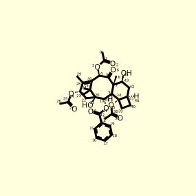 CC(=O)O[C@H]1C(=O)[C@@]2(C)[C@H]([C@H](OC(=O)c3ccccc3)[C@]3(O)C[C@H](OC(C)=O)C(C)=C1C3(C)C)[C@]1(OC(C)=O)CC[C@@H]1C[C@@H]2O